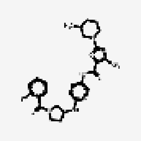 CC1CCCN(c2nc(C(F)(F)F)c(C(=O)Nc3ccc(NC4CCN(C(=O)c5ccccc5F)C4)nc3)o2)C1